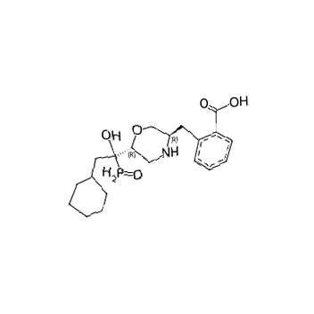 O=[PH2]C(O)(CC1CCCCC1)[C@H]1CN[C@H](Cc2ccccc2C(=O)O)CO1